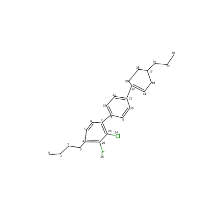 CCCCc1ccc(-c2ccc(C3=CCC(CCC)CC3)cc2)c(Cl)c1F